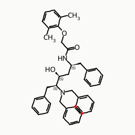 Cc1cccc(C)c1OCC(=O)N[C@@H](Cc1ccccc1)C[C@H](O)[C@H](Cc1ccccc1)N(Cc1ccccc1)Cc1ccccc1